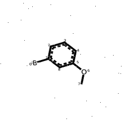 [B]c1cccc(OC)c1